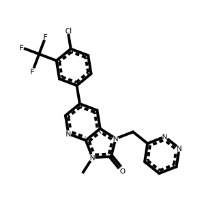 Cn1c(=O)n(Cc2cccnn2)c2cc(-c3ccc(Cl)c(C(F)(F)F)c3)cnc21